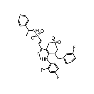 C/N=C(/C=C/S(=O)(=O)N[C@@H](C)c1ccccc1)C1=C(Nc2ccc(F)cc2F)C(Cc2cccc(F)c2)CS(=O)(=O)C1